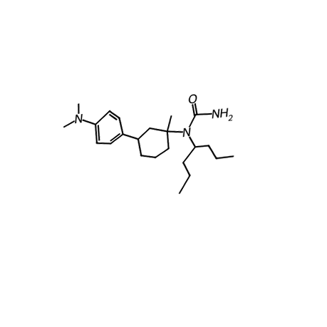 CCCC(CCC)N(C(N)=O)C1(C)CCCC(c2ccc(N(C)C)cc2)C1